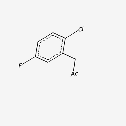 CC(=O)Cc1cc(F)ccc1Cl